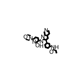 C=CC(=O)Nc1cccc(-c2cc3ccncc3nc2Nc2ccc(N3CCOCC3)nc2OC)c1